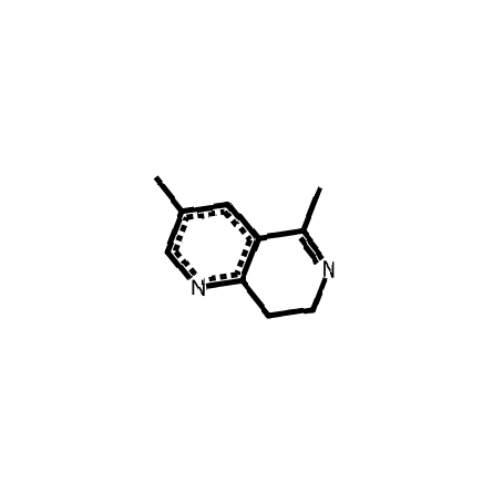 CC1=NCCc2ncc(C)cc21